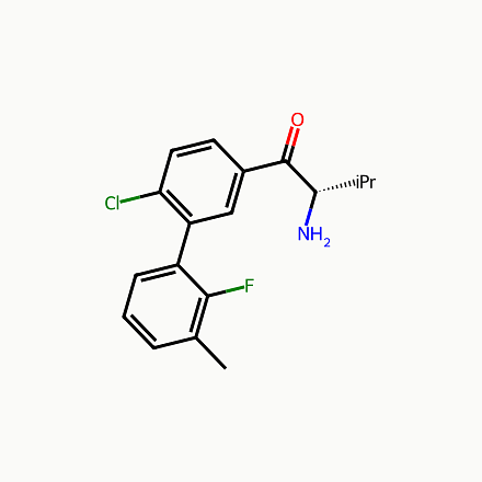 Cc1cccc(-c2cc(C(=O)[C@@H](N)C(C)C)ccc2Cl)c1F